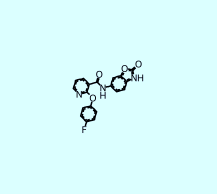 O=C(Nc1ccc2[nH]c(=O)oc2c1)c1cccnc1Oc1ccc(F)cc1